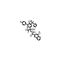 COc1cc(C(=O)NCC(O)(c2cc3c(c(-c4ccc(F)cc4)n2)OC[C@]3(C)n2cccc2)C(F)(F)F)cc2cccnc12